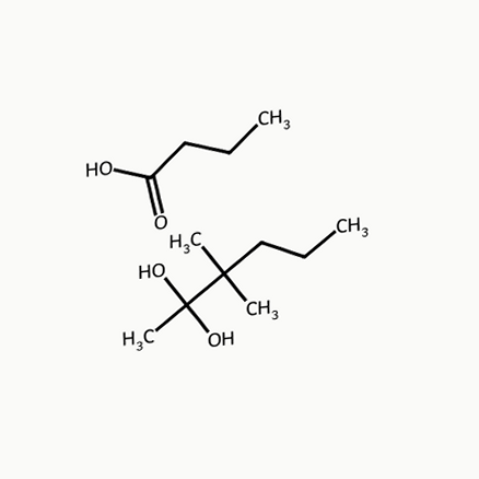 CCCC(=O)O.CCCC(C)(C)C(C)(O)O